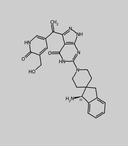 C=C(c1c[nH]c(=O)c(CO)c1)c1n[nH]c2nc(N3CCC4(CC3)Cc3ccccc3[C@H]4N)[nH]c(=O)c12